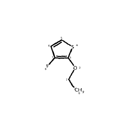 CCOc1sccc1F